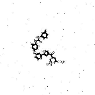 CCNC[C@H](CC(=O)C(=O)O)C(=O)c1c[nH]c(-c2cc(Oc3ccc(NC(=O)Nc4cccc(C)c4)c(F)c3)ccn2)c1